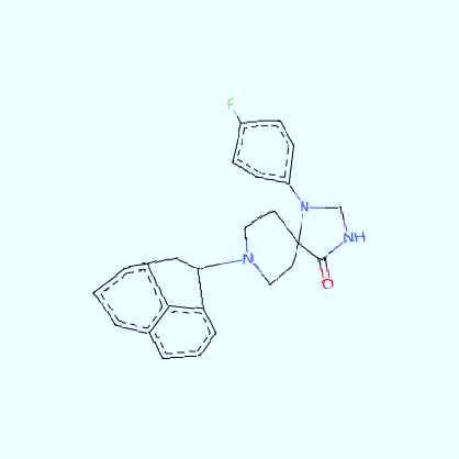 O=C1NCN(c2ccc(F)cc2)C12CCN(C1Cc3cccc4cccc1c34)CC2